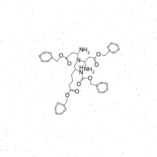 NC(CC(=O)OCc1ccccc1)N(CC(CCCC(=O)OCc1ccccc1)NC(=O)OCc1ccccc1)C(N)CC(=O)OCc1ccccc1